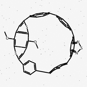 COc1c2cc3sc2c(OC)c2cc(sc12)-c1ccc(cc1)-c1ccc(cc1)-c1ccc(c2nsnc12)-c1ccc(cc1)-c1ccc-3cc1